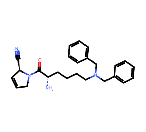 N#C[C@@H]1C=CCN1C(=O)[C@@H](N)CCCCN(Cc1ccccc1)Cc1ccccc1